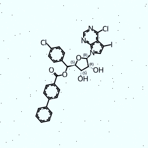 O=C(OC(c1ccc(Cl)cc1)[C@H]1O[C@@H](n2cc(I)c3c(Cl)ncnc32)[C@H](O)[C@@H]1O)c1ccc(-c2ccccc2)cc1